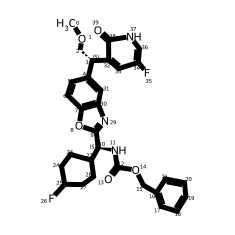 COC[C@@H](c1ccc2oc([C@@H](NC(=O)OCc3ccccc3)C3CCC(F)CC3)nc2c1)c1cc(F)c[nH]c1=O